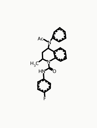 CC(=O)N(c1ccccc1)C1CC(C)N(C(=O)Nc2ccc(F)cc2)c2ccccc21